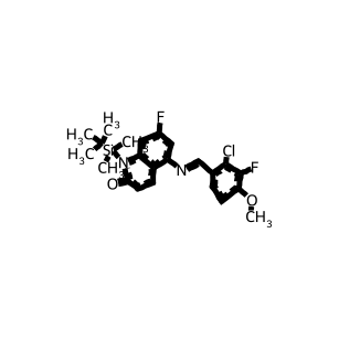 COc1ccc(C=Nc2cc(F)cc3c2ccc(=O)n3[Si](C)(C)C(C)(C)C)c(Cl)c1F